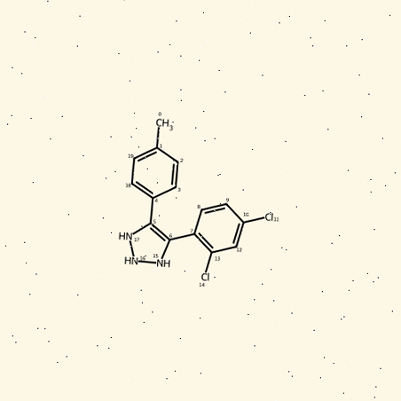 Cc1ccc(C2=C(c3ccc(Cl)cc3Cl)NNN2)cc1